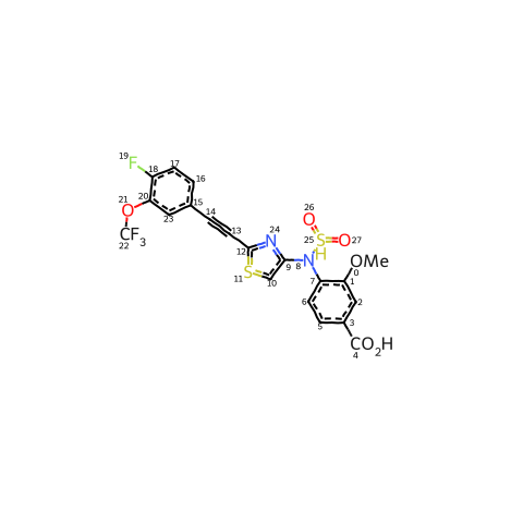 COc1cc(C(=O)O)ccc1N(c1csc(C#Cc2ccc(F)c(OC(F)(F)F)c2)n1)[SH](=O)=O